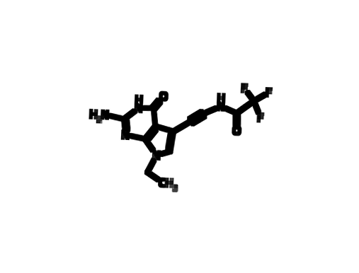 CCn1cc(C#CNC(=O)C(F)(F)F)c2c(=O)[nH]c(N)nc21